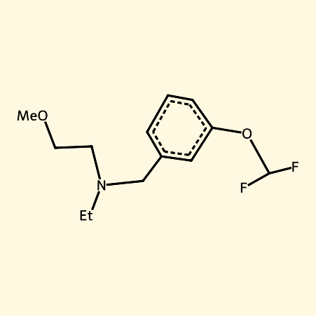 CCN(CCOC)Cc1cccc(OC(F)F)c1